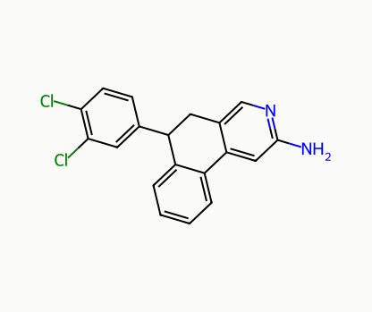 Nc1cc2c(cn1)CC(c1ccc(Cl)c(Cl)c1)c1ccccc1-2